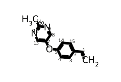 C=Cc1ccc(Oc2cnc(C)nc2)cc1